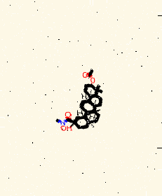 CC(=O)O[C@H]1CC[C@@]2(C)C(CC[C@]3(C)[C@@H]2CC[C@@H]2[C@H]4C[C@@](C)(C(=O)N(C)O)CC[C@]4(C)CC[C@]23C)C1(C)C